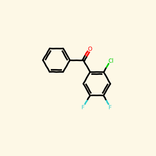 O=C(c1ccccc1)c1cc(F)c(F)cc1Cl